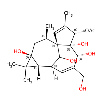 CC(=O)O[C@H]1C(C)=C[C@]23C(O)[C@@H](C=C(CO)[C@@H](O)[C@]12O)[C@@H]1C(C)(C)[C@]1(O)C[C@H]3C